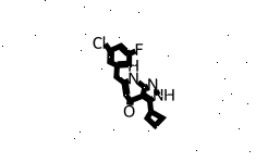 O=c1cc(Cc2cc(F)cc(Cl)c2)[nH]c2n[nH]c(C3CCC3)c12